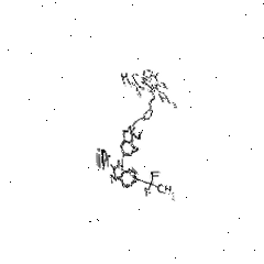 CC(C)c1nc2ccc(C(C)(F)F)nc2n1-c1ccc2nn(COCC[Si](C)(C)C)cc2c1